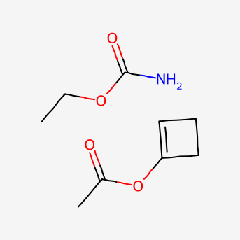 CC(=O)OC1=CCC1.CCOC(N)=O